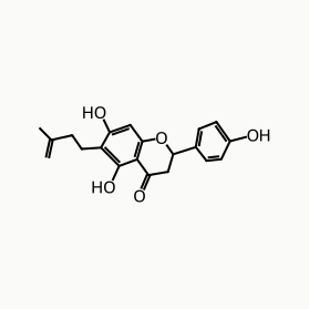 C=C(C)CCc1c(O)cc2c(c1O)C(=O)CC(c1ccc(O)cc1)O2